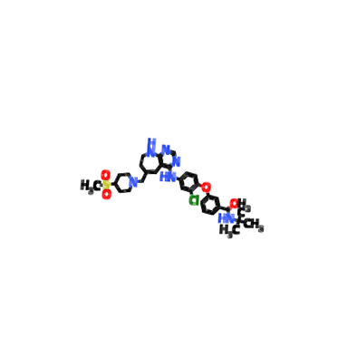 CC(C)(C)NC(=O)c1cccc(Oc2ccc(Nc3ncnc4c3C=C(CN3CCC(S(C)(=O)=O)CC3)CCN4)cc2Cl)c1